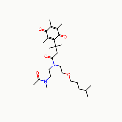 CC(=O)N(C)CCN(CCOCCCC(C)C)C(=O)CC(C)(C)C1=C(C)C(=O)C(C)=C(C)C1=O